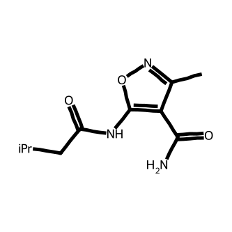 Cc1noc(NC(=O)CC(C)C)c1C(N)=O